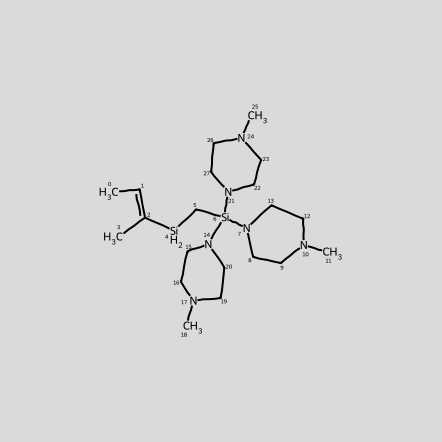 CC=C(C)[SiH2]C[Si](N1CCN(C)CC1)(N1CCN(C)CC1)N1CCN(C)CC1